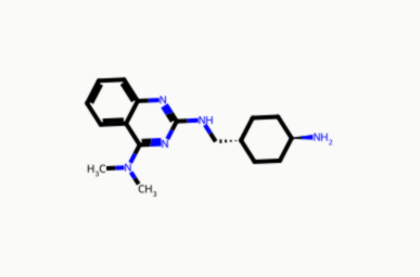 CN(C)c1nc(NC[C@H]2CC[C@H](N)CC2)nc2ccccc12